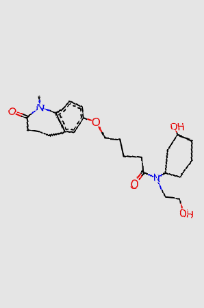 CN1C(=O)CCc2cc(OCCCCC(=O)N(CCO)C3CCCC(O)C3)ccc21